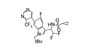 CC(C)(C)Cn1cc(C(NS(=O)(=O)C2CC2)C(F)F)c2cc(F)c(-c3cncnc3C(F)(F)F)cc21